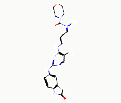 CN(CCCNc1nc(Nc2ccc3c(c2)CC(=O)N3)ncc1C(F)(F)F)C(=O)N1CCOCC1